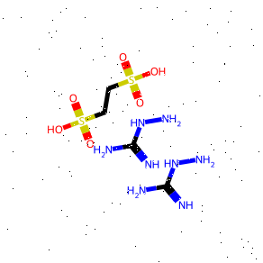 N=C(N)NN.N=C(N)NN.O=S(=O)(O)CCS(=O)(=O)O